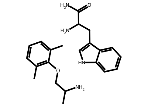 Cc1cccc(C)c1OCC(C)N.NC(=O)C(N)Cc1c[nH]c2ccccc12